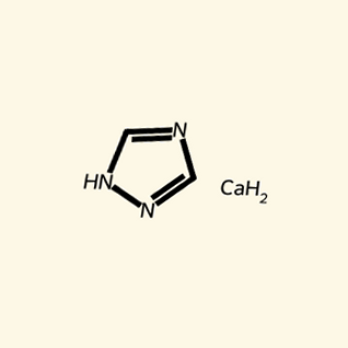 [CaH2].c1nc[nH]n1